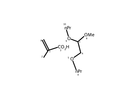 C=C(C)C(=O)O.CCCOCC(OC)OCCC